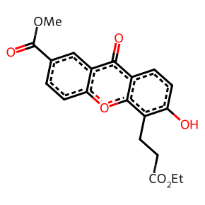 CCOC(=O)CCc1c(O)ccc2c(=O)c3cc(C(=O)OC)ccc3oc12